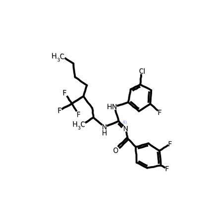 CCCCC(CC(C)N/C(=N\C(=O)c1ccc(F)c(F)c1)Nc1cc(F)cc(Cl)c1)C(F)(F)F